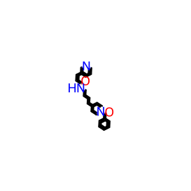 O=C(/C=C\c1cccnc1)NCCCCC1CCN(C(=O)c2ccccc2)CC1